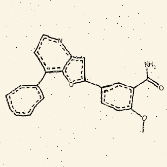 COc1ccc(-c2cc3nccc(-c4ccccc4)c3o2)cc1C(N)=O